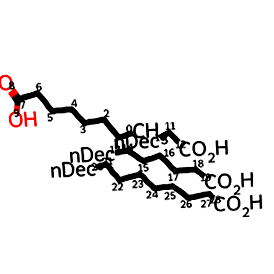 CCCCCCCC(=O)O.CCCCCCCCCCCC(=O)O.CCCCCCCCCCCCCCCC(=O)O.CCCCCCCCCCCCCCCCCC(=O)O